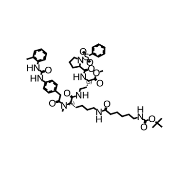 COC(=O)[C@H](CCNC(=O)[C@H](CCCCNC(=O)CCCCCNC(=O)OC(C)(C)C)N(C)C(=O)Cc1ccc(NC(=O)Nc2ccccc2C)cc1)NC(=O)C1CCCN1S(=O)(=O)c1ccccc1